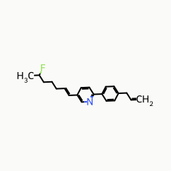 C=CCc1ccc(-c2ccc(C=CCCCC(C)F)cn2)cc1